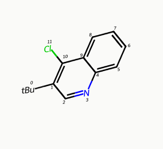 CC(C)(C)c1cnc2ccccc2c1Cl